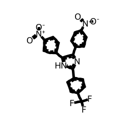 O=[N+]([O-])c1ccc(-c2nc(-c3ccc(C(F)(F)F)cc3)[nH]c2-c2ccc([N+](=O)[O-])cc2)cc1